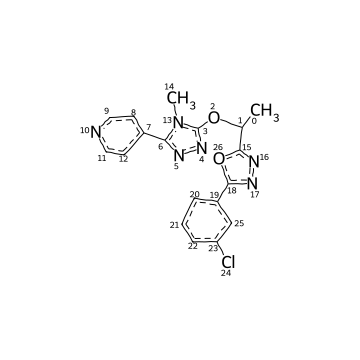 CC(Oc1nnc(-c2ccncc2)n1C)c1nnc(-c2cccc(Cl)c2)o1